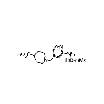 COBNc1cc(CN2CCC(C(=O)O)CC2)ccn1